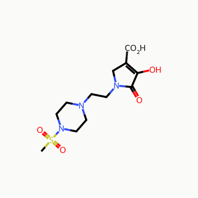 CS(=O)(=O)N1CCN(CCN2CC(C(=O)O)=C(O)C2=O)CC1